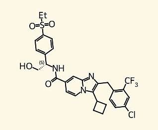 CCS(=O)(=O)c1ccc([C@@H](CO)NC(=O)c2ccn3c(C4CCC4)c(Cc4ccc(Cl)cc4C(F)(F)F)nc3c2)cc1